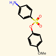 COc1ccc(OS(=O)(=O)c2ccc(N)cc2)cc1